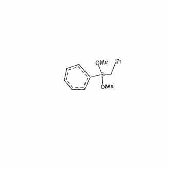 CO[Si](CC(C)C)(OC)c1ccccc1